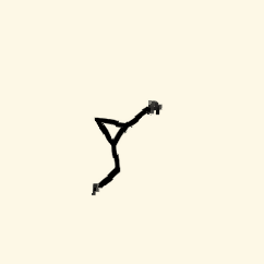 CC(C)C1CC1CF